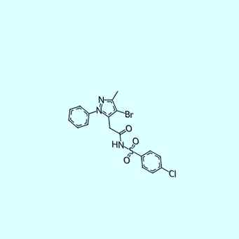 Cc1nn(-c2ccccc2)c(CC(=O)NS(=O)(=O)c2ccc(Cl)cc2)c1Br